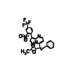 CC1OC(C2(c3ccnc4c(-c5ccc(C(F)(F)F)cc5[N+](=O)[O-])cnn34)CC2c2ccccc2)O1